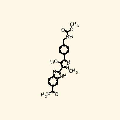 COC(=O)NCc1ccc(-c2nn(C)c(-c3nc4ccc(C(N)=O)cc4[nH]3)c2O)cc1